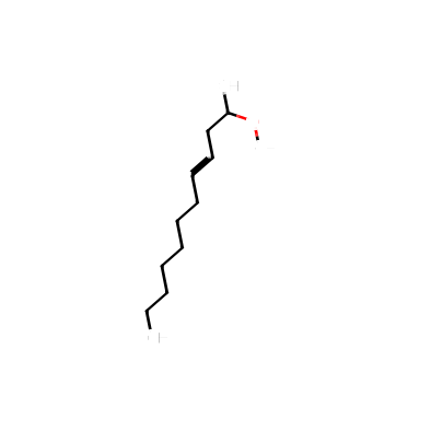 [CH2]C(CC=CCCCCCCC)OC